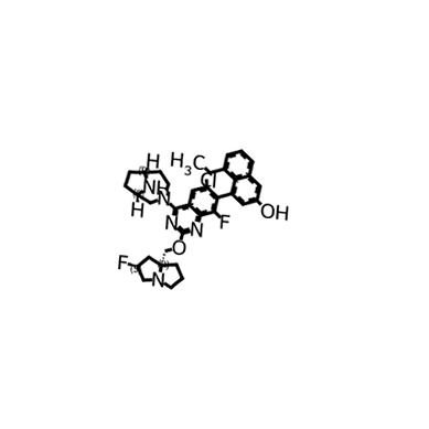 CCc1cccc2cc(O)cc(-c3c(Cl)cc4c(N5CC[C@H]6CC[C@@H](C5)N6)nc(OC[C@]56CCCN5C[C@@H](F)C6)nc4c3F)c12